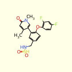 Cc1cc(=O)n(C)cc1-c1cc(CN[SH](=O)=O)ccc1Oc1ccc(F)cc1F